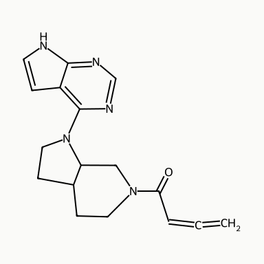 C=C=CC(=O)N1CCC2CCN(c3ncnc4[nH]ccc34)C2C1